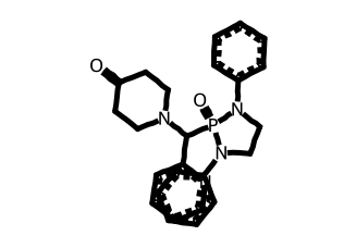 O=C1CCN(C(c2ccccn2)P2(=O)N(c3ccccc3)CCN2c2ccccc2)CC1